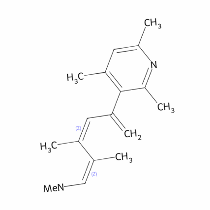 C=C(/C=C(C)\C(C)=C/NC)c1c(C)cc(C)nc1C